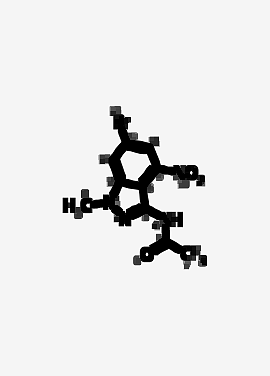 Cn1nc(NC(=O)C(F)(F)F)c2c([N+](=O)[O-])cc(Br)cc21